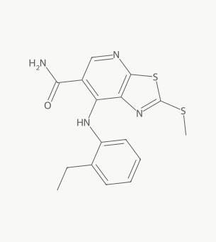 CCc1ccccc1Nc1c(C(N)=O)cnc2sc(SC)nc12